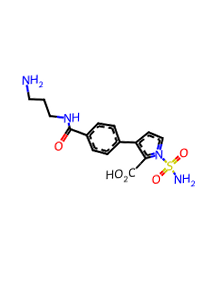 NCCCNC(=O)c1ccc(-c2ccn(S(N)(=O)=O)c2C(=O)O)cc1